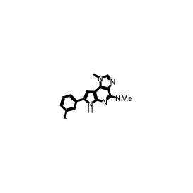 [CH2]c1cccc(-c2cc3c(nc(NC)c4ncn(C)c43)[nH]2)c1